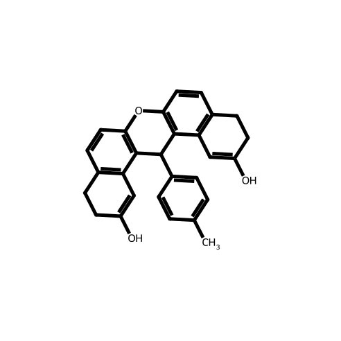 Cc1ccc(C2c3c(ccc4c3C=C(O)CC4)Oc3ccc4c(c32)C=C(O)CC4)cc1